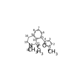 Cc1ccc(-c2cccc3c2C(C)N(C)CC3)o1